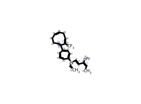 C=CN(/C=C/C(=C\C)CCC)C1=CC=C(C2=C\CCC=CC/C=C\2C(F)(F)F)C=C=C1